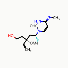 C=C[C@@](CCO)(C[C@H](F)N(C=O)/C=C\C(N)=N/C)OC